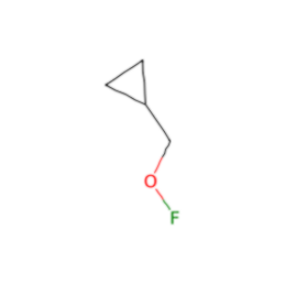 FOCC1CC1